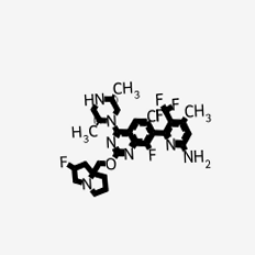 Cc1cc(N)nc(-c2c(Cl)cc3c(N4C[C@H](C)NC[C@H]4C)nc(OCC45CCCN4CC(F)C5)nc3c2F)c1C(F)(F)F